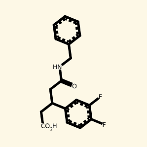 O=C(O)CC(CC(=O)NCc1ccccc1)c1ccc(F)c(F)c1